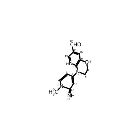 Cn1ccc(N2CCOc3cc(C=O)cnc32)cc1=N